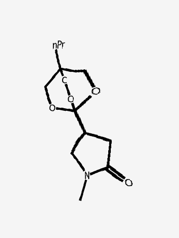 CCCC12COC(C3CC(=O)N(C)C3)(OC1)OC2